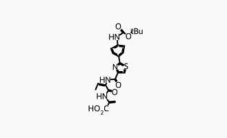 C=C(NC(=O)C(=CC)NC(=O)c1csc(-c2ccc(NC(=O)OC(C)(C)C)cc2)n1)C(=O)O